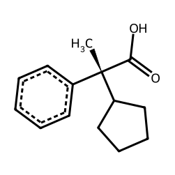 C[C@](C(=O)O)(c1ccccc1)C1CCCC1